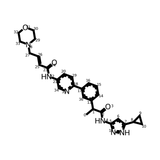 CC(C(=O)Nc1cc(C2CC2)[nH]n1)c1cccc(-c2ccc(NC(=O)C=CCN3CCOCC3)cn2)c1